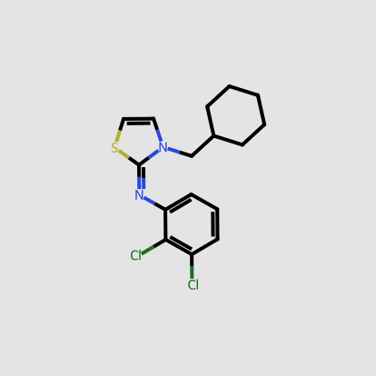 Clc1cccc(N=c2sccn2CC2CCCCC2)c1Cl